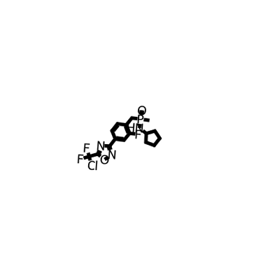 CP(=O)(Cc1ccc(-c2noc(C(F)(F)Cl)n2)cc1F)NC1CCCC1